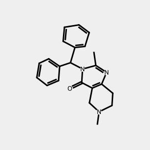 Cc1nc2c(c(=O)n1C(c1ccccc1)c1ccccc1)CN(C)CC2